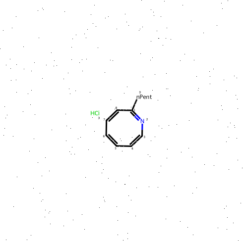 CCCCCC1=NC=CC=CC=C1.Cl